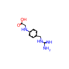 N=C(N)NCc1ccc(NCC(=O)O)cc1